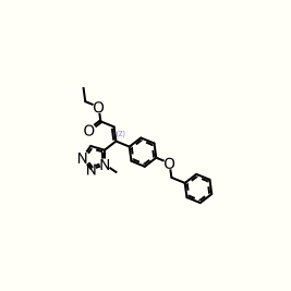 CCOC(=O)/C=C(/c1ccc(OCc2ccccc2)cc1)c1cnnn1C